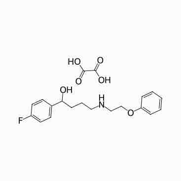 O=C(O)C(=O)O.OC(CCCNCCOc1ccccc1)c1ccc(F)cc1